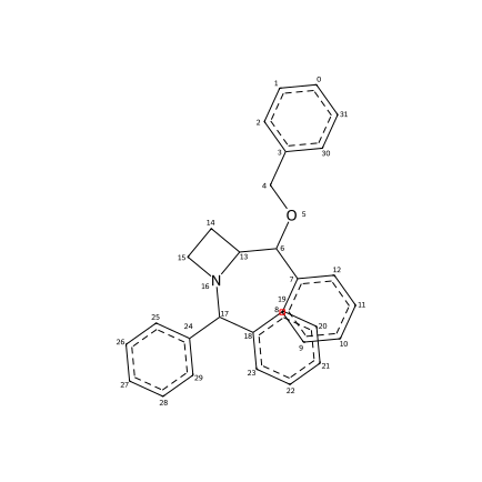 c1ccc(COC(c2ccccc2)C2CCN2C(c2ccccc2)c2ccccc2)cc1